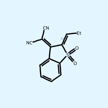 CC/C=C1/C(=C(C#N)C#N)c2ccccc2S1(=O)=O